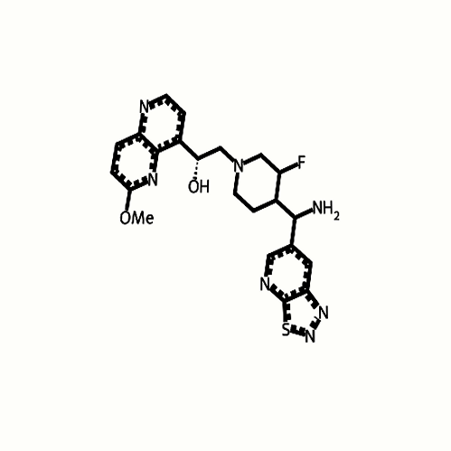 COc1ccc2nccc([C@@H](O)CN3CCC(C(N)c4cnc5snnc5c4)C(F)C3)c2n1